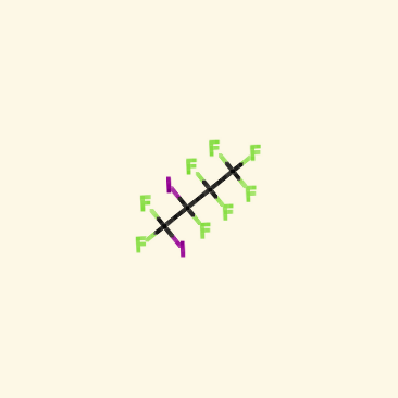 FC(F)(F)C(F)(F)C(F)(I)C(F)(F)I